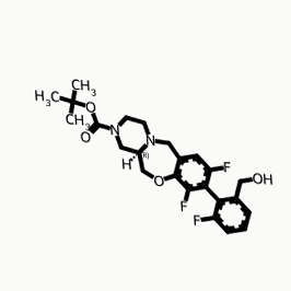 CC(C)(C)OC(=O)N1CCN2Cc3cc(F)c(-c4c(F)cccc4CO)c(F)c3OC[C@H]2C1